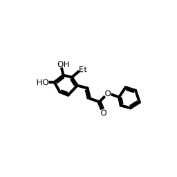 CCc1c(C=CC(=O)Oc2ccccc2)ccc(O)c1O